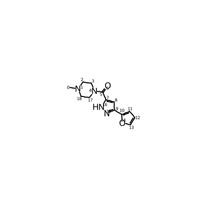 CN1CCN(C(=O)c2cc(-c3ccco3)n[nH]2)CC1